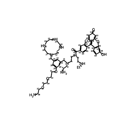 CCNCCN(CCN(CCN)Cc1cc(CN2CCNCCNCCNCC2)cc(OCCOCCOCCN)c1)C(=O)c1ccc(-c2c3ccc(=O)cc-3oc3cc(O)ccc23)c(C(=O)O)c1